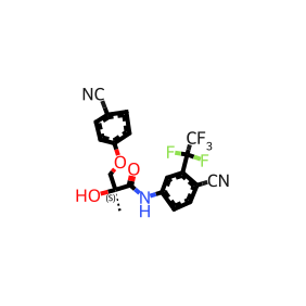 C[C@](O)(COc1ccc(C#N)cc1)C(=O)Nc1ccc(C#N)c(C(F)(F)C(F)(F)F)c1